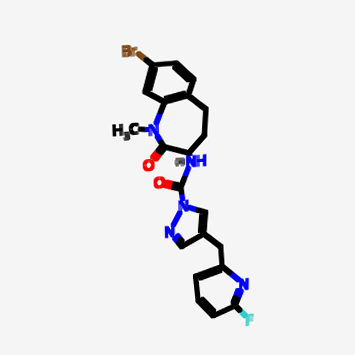 CN1C(=O)[C@H](NC(=O)n2cc(Cc3cccc(F)n3)cn2)CCc2ccc(Br)cc21